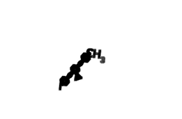 Cc1ccc(C#Cc2ccc(C#Cc3ccc(I)cc3)c(C3CC3)c2)cc1